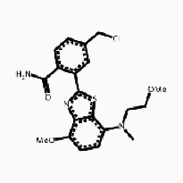 COCCN(C)c1ccc(OC)c2nc(-c3cc(CCl)ccc3C(N)=O)sc12